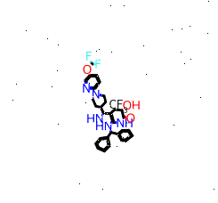 N=C(C1=C(NC(c2ccccc2)c2ccccc2)NC(=O)[C@H](O)[C@@H]1C(F)(F)F)C1CCN(c2ccc(OC(F)F)cn2)CC1